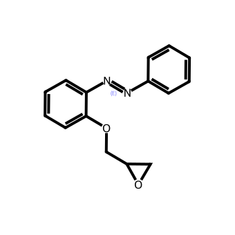 c1ccc(/N=N/c2ccccc2OCC2CO2)cc1